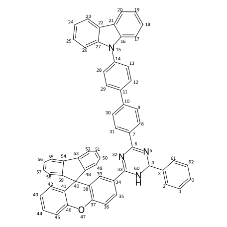 c1ccc(C2N=C(c3ccc(-c4ccc(-n5c6ccccc6c6ccccc65)cc4)cc3)N=C(c3ccc4c(c3)C3(c5ccccc5O4)c4ccccc4-c4ccccc43)N2)cc1